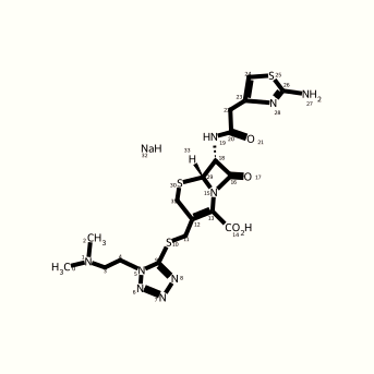 CN(C)CCn1nnnc1SCC1=C(C(=O)O)N2C(=O)[C@@H](NC(=O)Cc3csc(N)n3)[C@H]2SC1.[NaH]